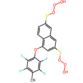 N#Cc1c(F)c(F)c(Oc2cc(SOOO)cc3cc(SOOO)ccc23)c(F)c1F